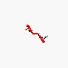 CN1C=N/C(=C\c2sc3ccccc3[n+]2CCCCSOOO)c2ncn(CCC[N+](C)(C)CCCC[N+](C)(C)CCCn3cnc4c3N(C)C=N/C4=C\c3sc4ccccc4[n+]3CCCCS(=O)(=O)O)c21